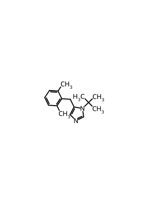 Cc1cccc(C)c1Cc1cncn1C(C)(C)C